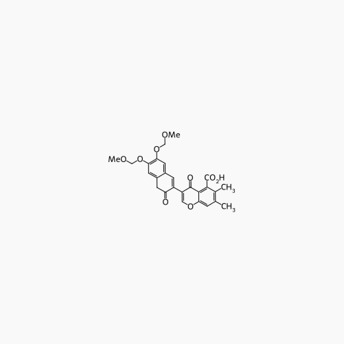 COCOc1cc2c(cc1OCOC)CC(=O)C(c1coc3cc(C)c(C)c(C(=O)O)c3c1=O)=C2